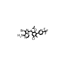 Cc1c(Cl)cc([C@@H](C)c2nc(Br)c3c(N)nccn23)c(OC(C)C)c1-c1ccc(C(F)(F)F)nc1